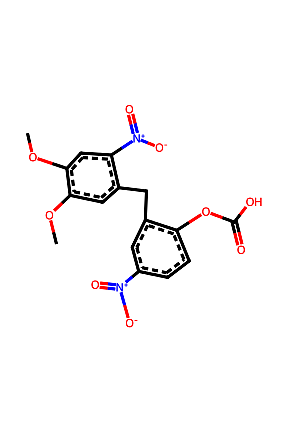 COc1cc(Cc2cc([N+](=O)[O-])ccc2OC(=O)O)c([N+](=O)[O-])cc1OC